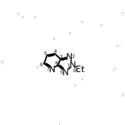 CCn1nc2cccnc2n1